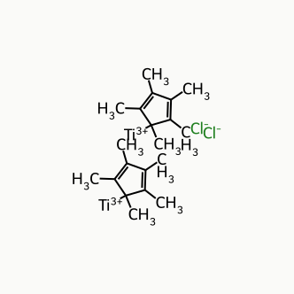 CC1=C(C)[C](C)([Ti+3])C(C)=C1C.CC1=C(C)[C](C)([Ti+3])C(C)=C1C.[Cl-].[Cl-]